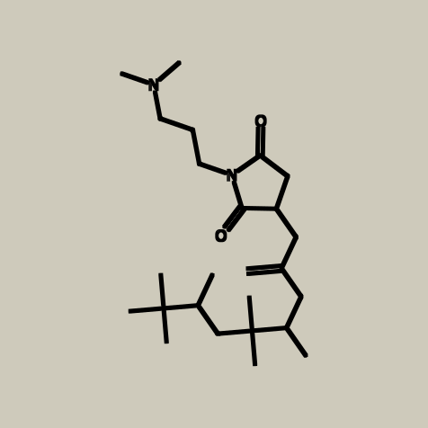 C=C(CC1CC(=O)N(CCCN(C)C)C1=O)CC(C)C(C)(C)CC(C)C(C)(C)C